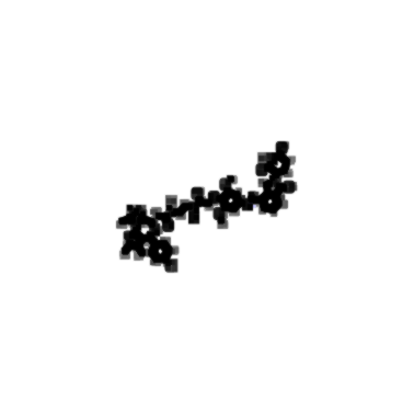 COc1cc(/N=N/c2cccc3c2CN(C2CCC(=O)NC2=O)C3=O)cc(OC)c1OCC(=O)NCCNC(=O)C[C@@H]1N=C(c2ccc(Cl)cc2)c2c(sc(C)c2C)-n2c(C)nnc21